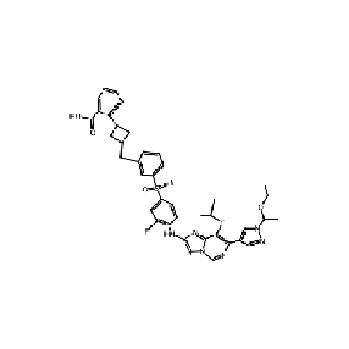 CCOC(C)n1cc(-c2ncn3nc(Nc4ccc(S(=O)(=O)c5cccc(CC6CC(c7ccccc7C(=O)O)C6)c5)cc4F)nc3c2OC(C)C)cn1